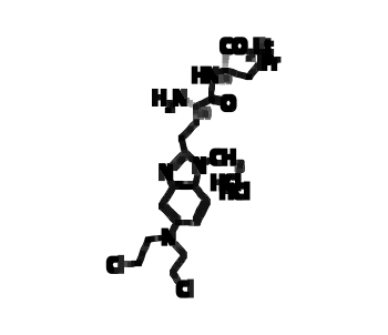 CCOC(=O)[C@H](CC(C)C)NC(=O)[C@@H](N)CCc1nc2cc(N(CCCl)CCCl)ccc2n1C.Cl.Cl